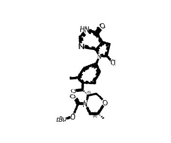 Cc1cc(-n2c(Cl)cc3c(=O)[nH]cnc32)ccc1C(=O)[C@@H]1CO[C@H](C)CN1C(=O)OC(C)(C)C